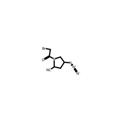 N#CC1CC(N=[N+]=[N-])CN1C(=O)CBr